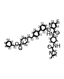 Cc1csc(C(=O)N[C@H]2CC[C@H](NC(=O)c3cc(F)cnc3Oc3cccc(-c4ccc(CCN5CCN(C(=O)OCc6ccccc6)CC5)cc4)c3)CC2)n1